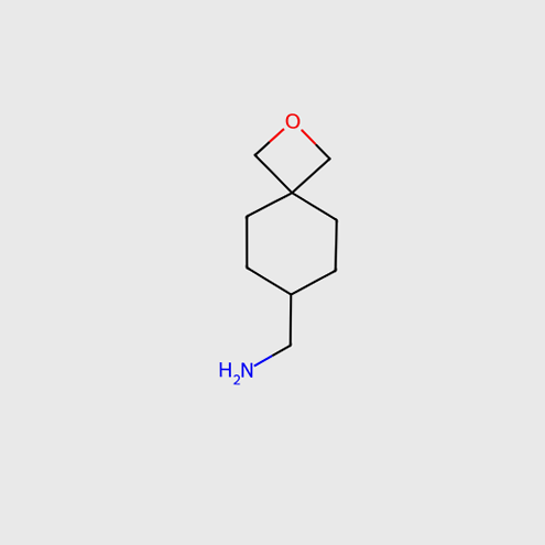 NCC1CCC2(CC1)COC2